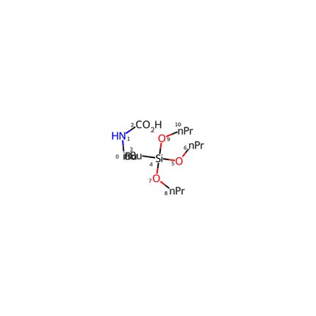 CCC(C)NC(=O)O.CCCC[Si](OCCC)(OCCC)OCCC